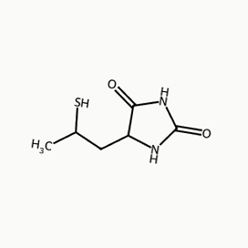 CC(S)CC1NC(=O)NC1=O